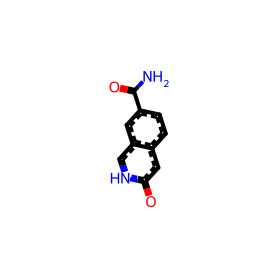 NC(=O)c1ccc2cc(=O)[nH]cc2c1